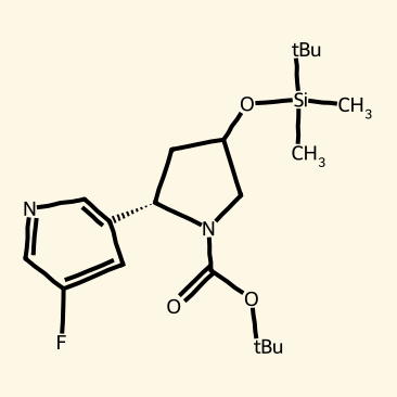 CC(C)(C)OC(=O)N1CC(O[Si](C)(C)C(C)(C)C)C[C@H]1c1cncc(F)c1